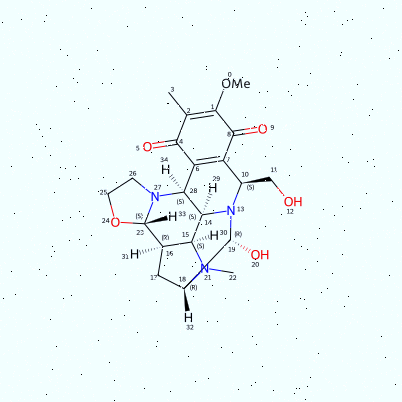 COC1=C(C)C(=O)C2=C(C1=O)[C@@H](CO)N1[C@H]3[C@@H]4[C@@H](C[C@H]([C@H]1O)N4C)[C@@H]1OCCN1[C@@H]23